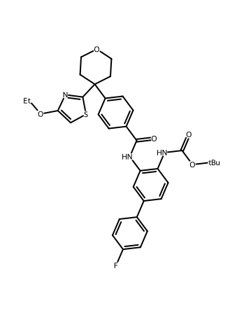 CCOc1csc(C2(c3ccc(C(=O)Nc4cc(-c5ccc(F)cc5)ccc4NC(=O)OC(C)(C)C)cc3)CCOCC2)n1